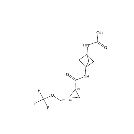 O=C(O)NC12CC(NC(=O)[C@@H]3C[C@@H]3COC(F)(F)F)(C1)C2